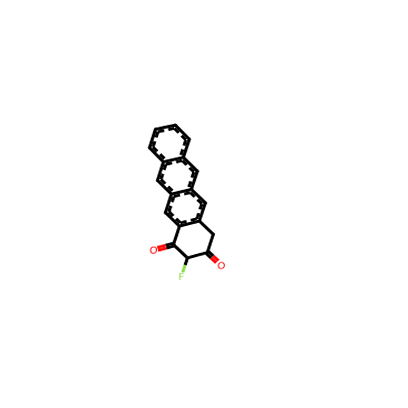 O=C1Cc2cc3cc4ccccc4cc3cc2C(=O)C1F